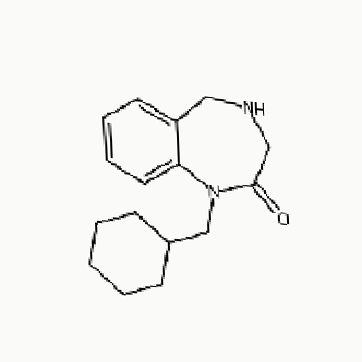 O=C1CNCc2ccccc2N1CC1CCCCC1